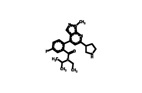 CCN(C(=O)c1cc(F)ccc1-c1cc(C2CCNC2)nc2c1cnn2C)C(C)C